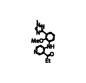 CCC(=O)c1cnccc1Nc1cccc(-c2ncn(C)n2)c1OC